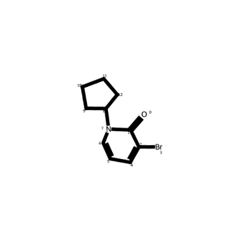 O=c1c(Br)cccn1C1CCCC1